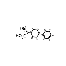 CC(C)(C)N(C(=O)O)C1CCC(c2ccccc2)CC1